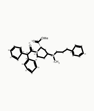 COC(=O)[C@@H]1CC(N(C)CCCc2ccccc2)CCN1C(=O)C(c1ccccc1)c1ccccc1